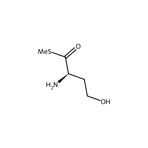 CSC(=O)[C@H](N)CCO